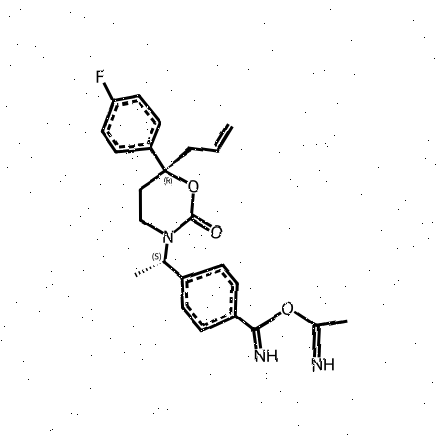 C=CC[C@]1(c2ccc(F)cc2)CCN([C@@H](C)c2ccc(C(=N)OC(C)=N)cc2)C(=O)O1